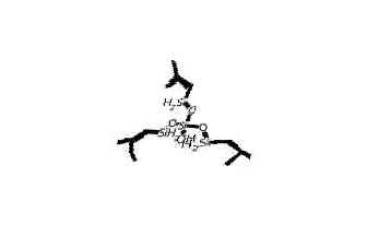 CC(C)=C[SiH2]O[Si](O)(O[SiH2]C=C(C)C)O[SiH2]C=C(C)C